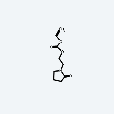 C=COC(=O)OCCN1CCCC1=O